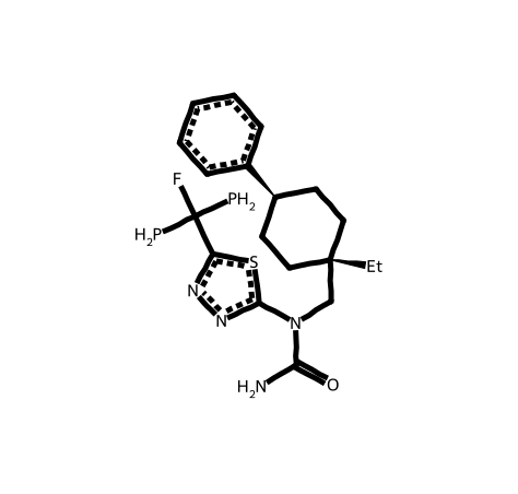 CC[C@]1(CN(C(N)=O)c2nnc(C(F)(P)P)s2)CC[C@H](c2ccccc2)CC1